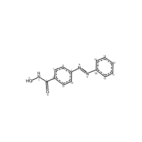 O=C(NO)c1ccc(N=Nc2ccccc2)cc1